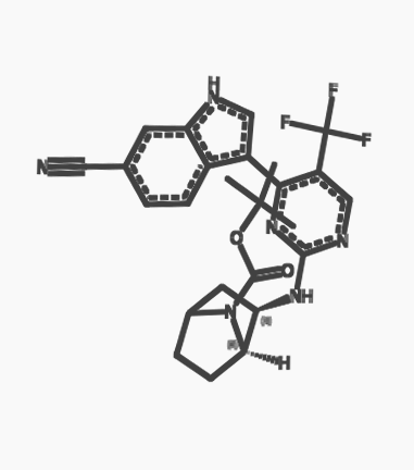 CC(C)(C)OC(=O)N1C2CC[C@@H]1[C@H](Nc1ncc(C(F)(F)F)c(-c3c[nH]c4cc(C#N)ccc34)n1)C2